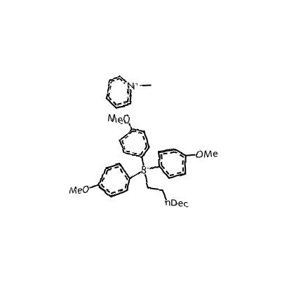 CCCCCCCCCCCC[B-](c1ccc(OC)cc1)(c1ccc(OC)cc1)c1ccc(OC)cc1.C[n+]1ccccc1